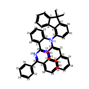 CC1(C)c2ccccc2-c2c(N(c3ccc4ccccc4c3)c3ccccc3-c3nc(-c4ccccc4)c4ccccc4n3)cccc21